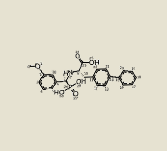 COc1cccc(C(N[C@@H](Cc2ccc(-c3ccccc3)cc2)C(=O)O)P(=O)(O)O)c1